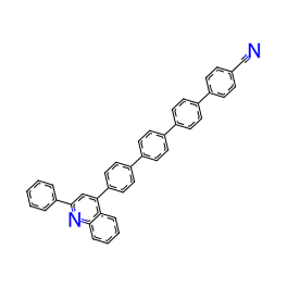 N#Cc1ccc(-c2ccc(-c3ccc(-c4ccc(-c5cc(-c6ccccc6)nc6ccccc56)cc4)cc3)cc2)cc1